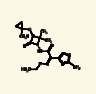 CC1(C)[C@H](NC(=O)/C(=N\OCC(=O)O)c2csc(N)n2)C(=O)N1OC1(C(=O)O)CC1